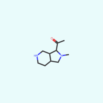 CC(=O)C1C2CNCCC2CN1C